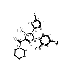 C[C@H]1C(C(=O)N2CCCCC2)=NN(c2ccc(Cl)cc2Cl)[C@@H]1c1ccc(Cl)s1